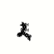 CCOC(=O)C1CCN(c2cc(C(=O)Nc3ccc4[nH]c(C)c(C)c4c3)nc(N3CCOCC3)c2)CC1